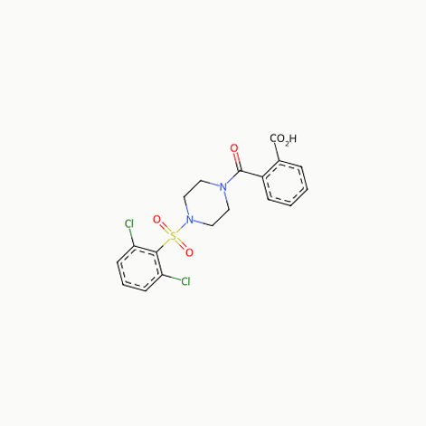 O=C(O)c1ccccc1C(=O)N1CCN(S(=O)(=O)c2c(Cl)cccc2Cl)CC1